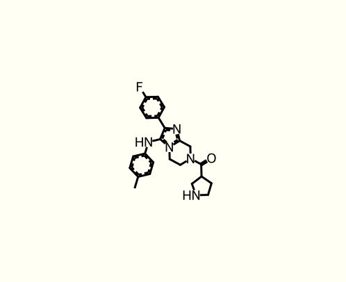 Cc1ccc(Nc2c(-c3ccc(F)cc3)nc3n2CCN(C(=O)C2CCNC2)C3)cc1